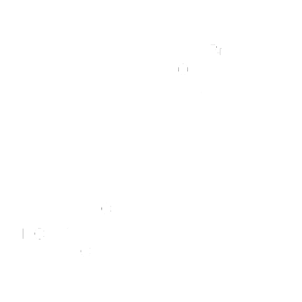 O=C(O)COc1ccc(C=CC(=O)c2ccccc2Br)cc1